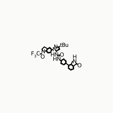 CC(C)(C)c1cc(NC(=O)Nc2ccc(-c3cccc4c3CNC4=O)cc2)n(-c2ccc3c(c2)CCN3C(=O)C(F)(F)F)n1